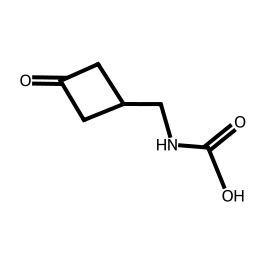 O=C1CC(CNC(=O)O)C1